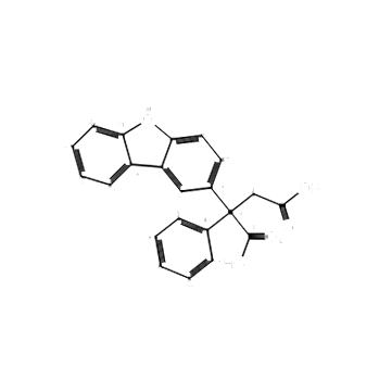 O=C(O)CC(C(=O)O)(c1ccccc1)c1ccc2oc3ccccc3c2c1